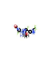 [2H]C([2H])([2H])Oc1nc(N[C@H]2CCN(C3COC3)C[C@@H]2F)nn2cc(F)c(-c3ccc4nnn(CC(F)F)c4c3)c12